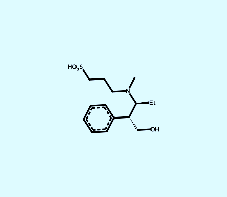 CC[C@@H]([C@H](CO)c1ccccc1)N(C)CCCS(=O)(=O)O